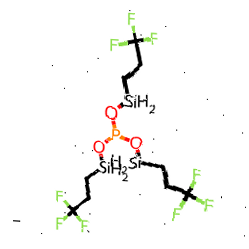 FC(F)(F)CC[SiH2]OP(O[SiH2]CCC(F)(F)F)O[SiH2]CCC(F)(F)F